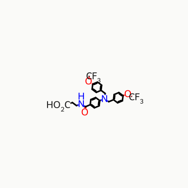 O=C(O)CCNC(=O)c1ccc(N(Cc2ccc(OC(F)(F)F)cc2)Cc2ccc(OC(F)(F)F)cc2)cc1